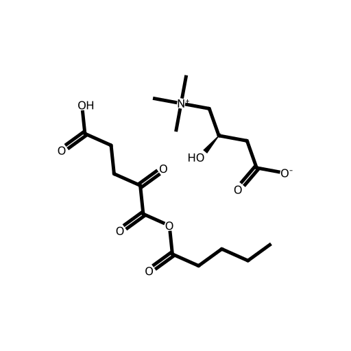 CCCCC(=O)OC(=O)C(=O)CCC(=O)O.C[N+](C)(C)C[C@H](O)CC(=O)[O-]